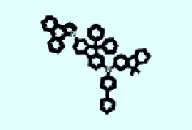 CC1(C)c2cc(N(c3ccc(-c4ccccc4)cc3)c3ccc4c(c3)C(c3ccccc3)(c3ccccc3)C3CC(n5ccc6c7ccccc7c7ccccc7c65)=CC=C43)ccc2C2=CC=CCC21